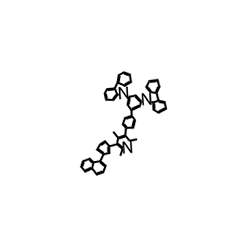 Cc1nc(C)c(-c2cccc(-c3cccc4ccccc34)c2)c(C)c1-c1ccc(-c2cc(-n3c4ccccc4c4ccccc43)cc(-n3c4ccccc4c4ccccc43)c2)cc1